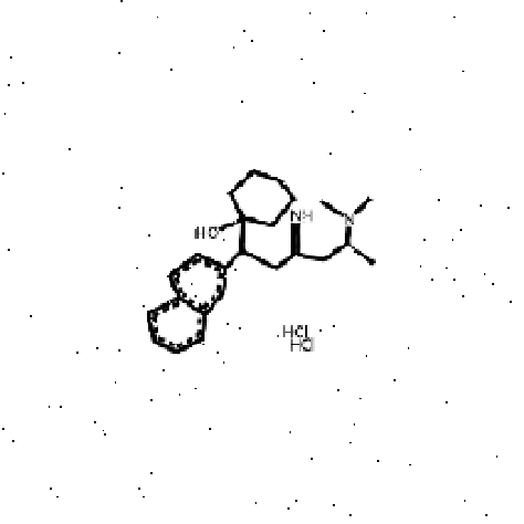 C[C@@H](CC(=N)CC(c1ccc2ccccc2c1)C1(O)CCCCC1)N(C)C.Cl.Cl